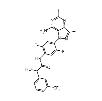 Cc1nc(N)c2c(n1)c(C)nn2-c1cc(F)c(NC(=O)C(O)c2cccc(C(F)(F)F)c2)cc1F